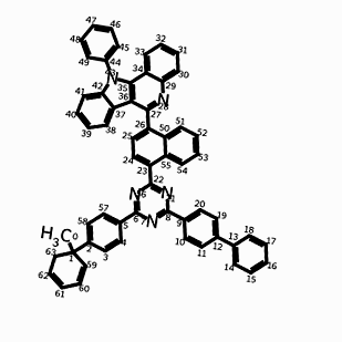 CC1(c2ccc(-c3nc(-c4ccc(-c5ccccc5)cc4)nc(-c4ccc(-c5nc6ccccc6c6c5c5ccccc5n6-c5ccccc5)c5ccccc45)n3)cc2)C=CC=CC1